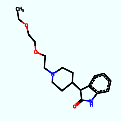 CCOCCOCCN1CCC(C2C(=O)Nc3ccccc32)CC1